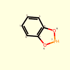 [c]1cccc2c1OPO2